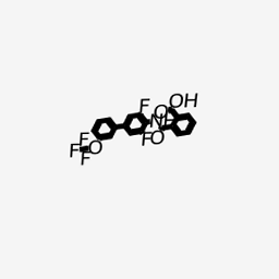 O=C(O)c1ccccc1C(=O)Nc1c(F)cc(-c2cccc(OC(F)(F)F)c2)cc1F